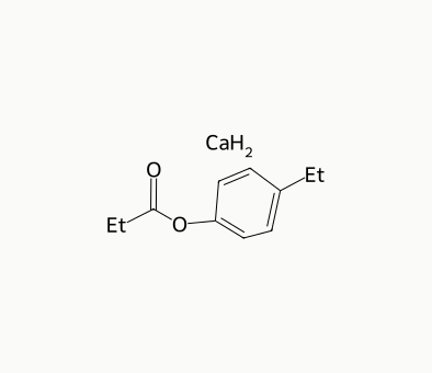 CCC(=O)Oc1ccc(CC)cc1.[CaH2]